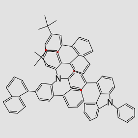 CC(C)(C)c1cc(-c2cccc3cccc(-c4ccccc4N(c4ccc(-c5cccc6c5c5ccccc5n6-c5ccccc5)cc4)c4cc(-c5cccc6ccccc56)ccc4-c4ccccc4)c23)cc(C(C)(C)C)c1